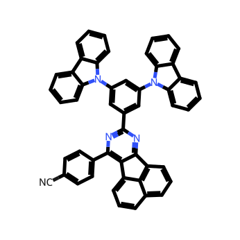 N#Cc1ccc(-c2nc(-c3cc(-n4c5ccccc5c5ccccc54)cc(-n4c5ccccc5c5ccccc54)c3)nc3c2-c2cccc4cccc-3c24)cc1